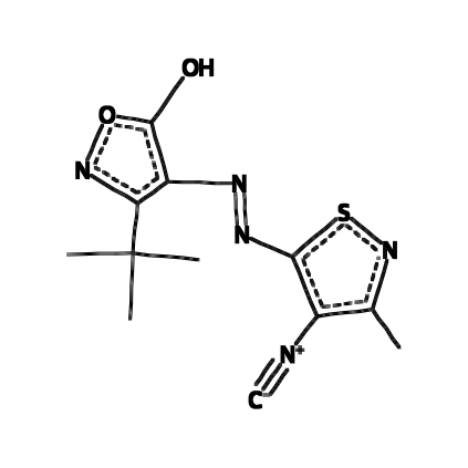 [C-]#[N+]c1c(C)nsc1N=Nc1c(C(C)(C)C)noc1O